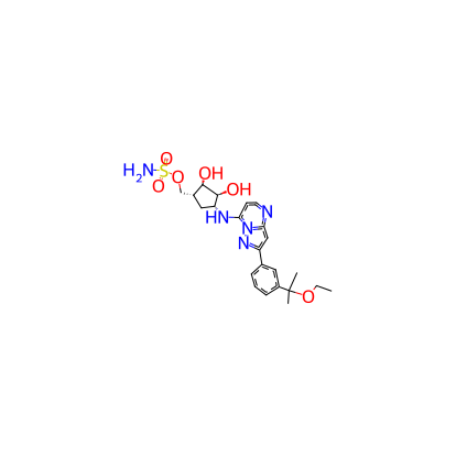 CCOC(C)(C)c1cccc(-c2cc3nccc(N[C@@H]4C[C@H](COS(N)(=O)=O)[C@@H](O)[C@H]4O)n3n2)c1